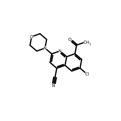 CC(=O)c1cc(Cl)cc2c(C#N)cc(N3CCOCC3)nc12